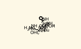 CC[C@H](C)[C@H](NC(=O)[C@H](Cc1c[nH]c2ccccc12)NC(=O)[C@@H](N)CO)C(=O)N[C@H]([C]=O)CCCNC(=N)N